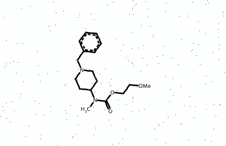 COCCOC(=O)N(C)C1CCN(Cc2ccccc2)CC1